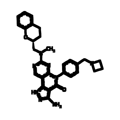 CN(C[C@H]1CCc2ccccc2O1)c1ncc2c3[nH]nc(N)c3c(=O)n(-c3ccc(CN4CCC4)cc3)c2n1